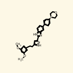 COc1cc(CCc2cc(-c3nc4cc(-c5ccc(N6CCOCC6)cc5)ccc4[nH]3)n[nH]2)cc(OC)c1